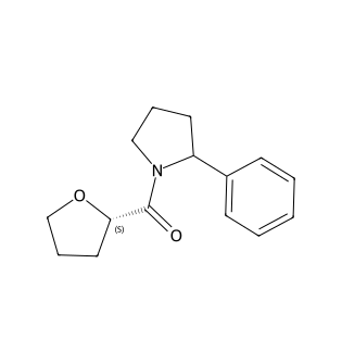 O=C([C@@H]1CCCO1)N1CCCC1c1ccccc1